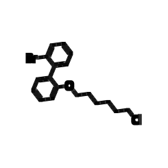 ClCCCCCCOc1ccccc1-c1ccccc1Br